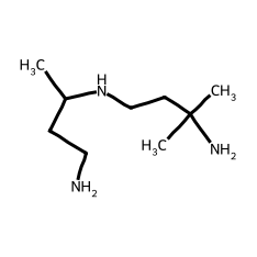 CC(CCN)NCCC(C)(C)N